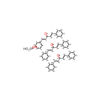 O=C(C=Cc1ccccc1)C=Cc1ccccc1.O=C(C=Cc1ccccc1)C=Cc1ccccc1.O=C(C=Cc1ccccc1)C=Cc1ccccc1.O=C(O)O